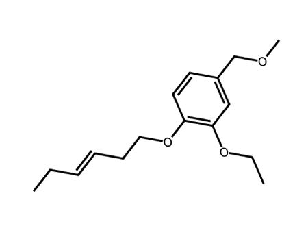 CCC=CCCOc1ccc(COC)cc1OCC